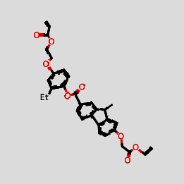 C=COC(=O)COc1ccc2c(c1)C(C)c1cc(C(=O)Oc3ccc(OCCOC(=O)C=C)cc3CC)ccc1-2